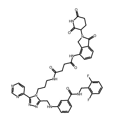 O=C(CCC(=O)Nc1cccc2c1CN(C1CCC(=O)NC1=O)C2=O)NCCCn1c(CNc2cccc(C(=O)NCc3c(F)cccc3F)c2)nnc1-c1ccncn1